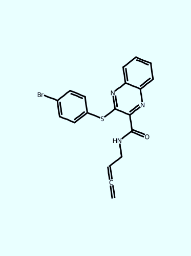 C=C=CCNC(=O)c1nc2ccccc2nc1Sc1ccc(Br)cc1